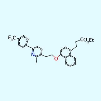 CCOC(=O)CCc1ccc(OCCc2ccc(-c3ccc(C(F)(F)F)cc3)nc2C)c2ccccc12